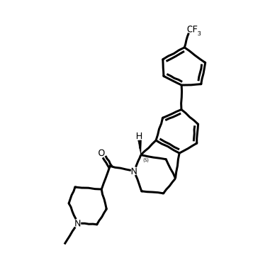 CN1CCC(C(=O)N2CCC3C[C@H]2c2cc(-c4ccc(C(F)(F)F)cc4)ccc23)CC1